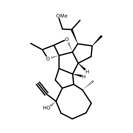 C#C[C@]1(O)CCCC[C@@H](C)C2C1CC1[C@@H]2[C@H]2C[C@H](C)[C@H](C(C)COC)[C@@]23OC2C(C)O[C@@]213